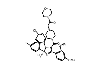 COc1ccc(C2=N[C@@](C)(c3ccc(Cl)cc3)[C@@H](c3ccc(Cl)cc3)N2C(=O)N2CCN(CC(=O)N3CCOCC3)CC2)c(OC(C)C)c1